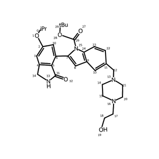 CC(C)Oc1cc2c(c(-c3cc4cc(CN5CCN(CCO)CC5)ccc4n3C(=O)OC(C)(C)C)c1)C(=O)NC2